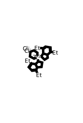 CCC1=CC=C(CC)C2C1CC[CH]2[Zr+2]1([CH]2CCC3C(CC)=CC=C(CC)C32)[CH2]CCC[CH2]1.[Cl-].[Cl-]